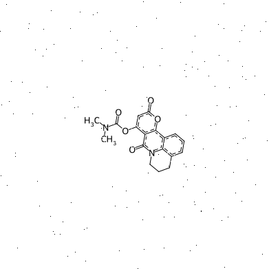 CN(C)C(=O)Oc1cc(=O)oc2c1c(=O)n1c3c(cccc23)CCC1